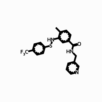 Cc1ccc(C(=O)NCc2cccnc2)cc1NSc1ccc(C(F)(F)F)cc1